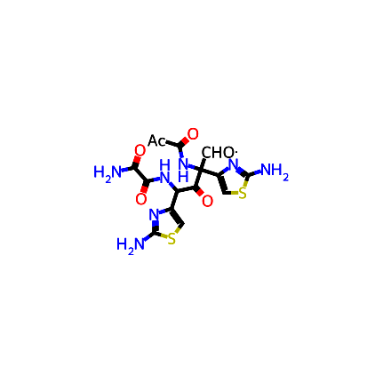 CC(=O)C(=O)NC([C]=O)(C(=O)C(NC(=O)C(N)=O)c1csc(N)n1)c1csc(N)n1